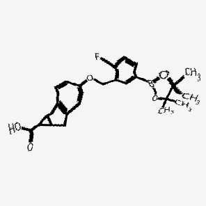 CC1(C)OB(c2ccc(F)c(COc3ccc4c(c3)CC3C(C(=O)O)C43)c2)OC1(C)C